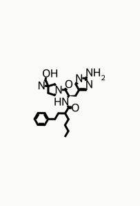 CCCCC(CCc1ccccc1)C(=O)N[C@H](Cc1cnc(N)nc1)C(=O)N1CCC2(C1)N=C2O